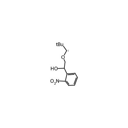 CC(C)(C)[C]OCC(O)c1ccccc1[N+](=O)[O-]